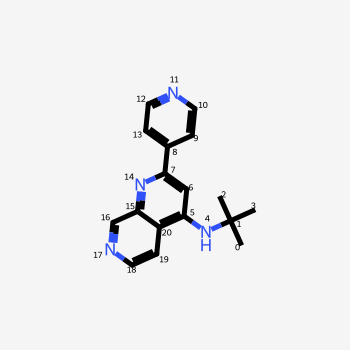 CC(C)(C)Nc1cc(-c2ccncc2)nc2cnccc12